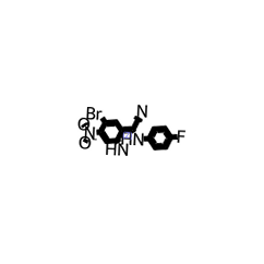 N#C/C(Nc1ccc(F)cc1)=C1\C=C(Br)C([N+](=O)[O-])=CC1=N